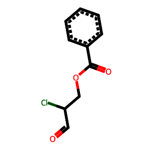 O=CC(Cl)COC(=O)c1ccccc1